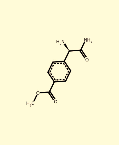 COC(=O)c1ccc([C@@H](N)C(N)=O)cc1